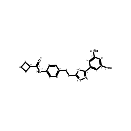 CC(C)(C)c1cc(-c2nnc(CCc3ccc(NC(=O)C4CCC4)cc3)s2)cc(C(C)(C)C)c1